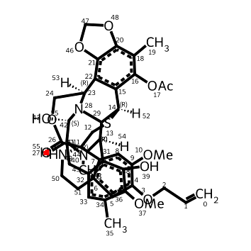 C=CCOc1cc2c(cc1OC)[C@@]1(CS[C@@H]3c4c(OC(C)=O)c(C)c5c(c4[C@H](COC1=O)N1C3[C@H]3c4c(cc(C)c(OC)c4O)C[C@@H]([C@@H]1O)N3C)OCO5)NCC2